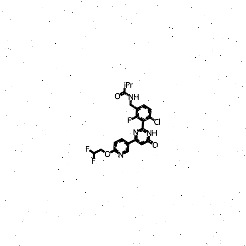 CC(C)C(=O)NCc1ccc(Cl)c(-c2nc(-c3ccc(OCC(F)F)nc3)cc(=O)[nH]2)c1F